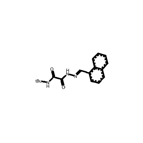 CC(C)(C)NC(=O)C(=O)N/N=C/c1cccc2ccccc12